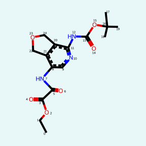 CCOC(=O)C(=O)Nc1cnc(NC(=O)OC(C)(C)C)c2c1COC2